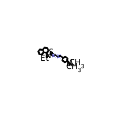 CC[n+]1c(/C=C/C=C/c2ccc(N(C)C)cc2)sc2ccc3ccccc3c21